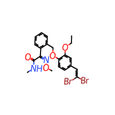 CCOc1cc(C=C(Br)Br)ccc1OCc1ccccc1C(=NOC)C(=O)NC